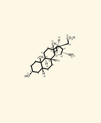 C[C@]12CC[C@H](O)C[C@H]1CC[C@@H]1[C@@H]2CC[C@]2(C)[C@@H]3CC[C@]12O[C@@H](N)[C@H]3CC(=O)O